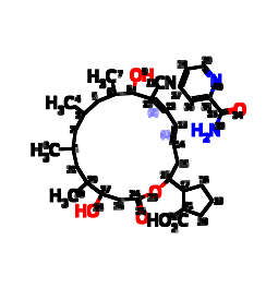 CC1CC(C)CC(C)C(O)/C(C#N)=C\C=C\CC(C2CCCC2C(=O)O)OC(=O)CC(O)C(C)C1.NC(=O)c1ccccn1